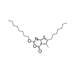 CCCCCCCCOc1nc2sc(CCCCCCC)c(C)c2c(=O)o1